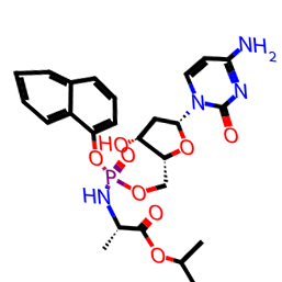 CC(C)OC(=O)[C@H](C)NP(=O)(OC[C@H]1O[C@@H](n2ccc(N)nc2=O)C[C@H]1O)Oc1cccc2ccccc12